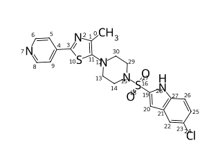 Cc1nc(-c2ccncc2)sc1N1CCN(S(=O)(=O)c2cc3cc(Cl)ccc3[nH]2)CC1